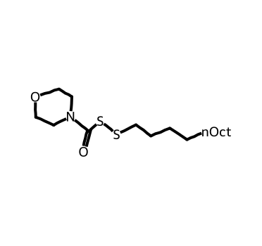 CCCCCCCCCCCCSSC(=O)N1CCOCC1